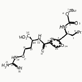 CC(C)C[C@H](NC(=O)OC(C)(C)C)c1nc(C(=O)N[C@@H](CCONC(=N)N)C(=O)O)co1